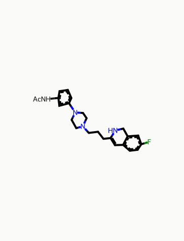 CC(=O)Nc1cccc(N2CCN(CCCC3=Cc4ccc(F)cc4CN3)CC2)c1